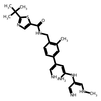 CN/C=C(\C=N)N/C(N)=C/C(=C\N)c1ccc(CNC(=O)c2cnc(C(C)(C)C)s2)c(C)c1